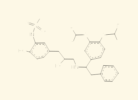 CS(=O)(=O)Nc1cc(CC(O)CNC(Cc2ccccc2)c2ccc(OC(F)F)c(OC(F)F)c2)ccc1O